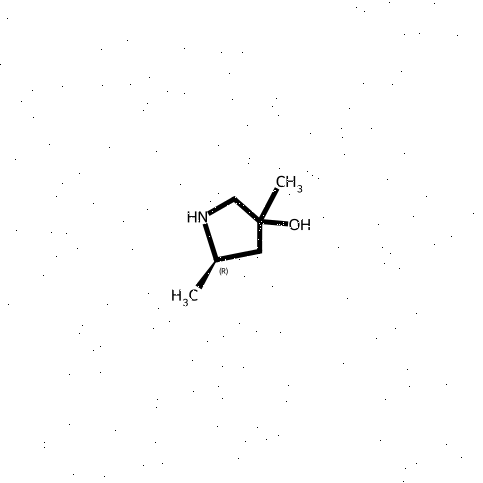 C[C@@H]1CC(C)(O)CN1